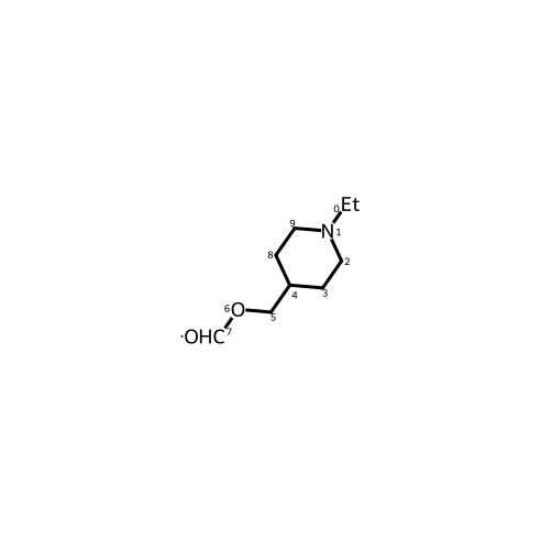 CCN1CCC(CO[C]=O)CC1